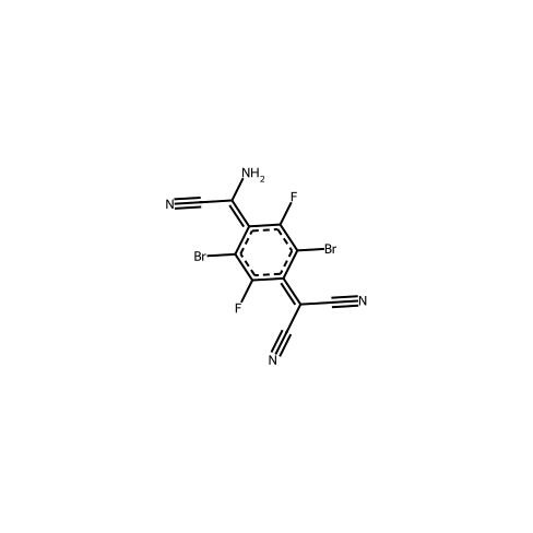 N#CC(C#N)=c1c(F)c(Br)/c(=C(/N)C#N)c(F)c1Br